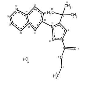 CCOC(=O)c1cc(C(C)(C)C)n(-c2ccc3ncccc3c2)n1.Cl